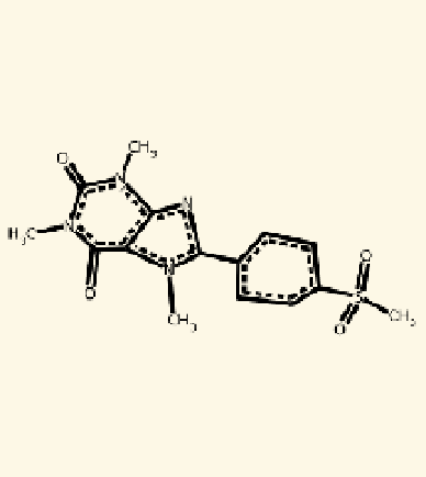 Cn1c(=O)c2c(nc(-c3ccc(S(C)(=O)=O)cc3)n2C)n(C)c1=O